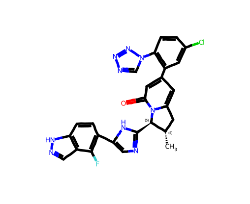 C[C@H]1Cc2cc(-c3cc(Cl)ccc3-n3cnnn3)cc(=O)n2[C@@H]1c1ncc(-c2ccc3[nH]ncc3c2F)[nH]1